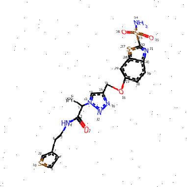 CC(C)C(C(=O)NCCc1ccsc1)n1cc(COc2ccc3nc(S(N)(=O)=O)sc3c2)nn1